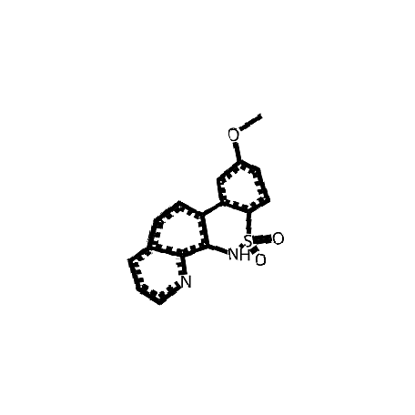 COc1ccc2c(c1)-c1ccc3cccnc3c1NS2(=O)=O